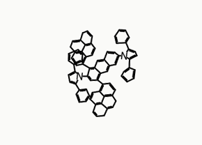 C1=Cc2ccc3c(-c4cc(-n5c(-c6ccccc6)ccc5-c5ccccc5)c(-c5ccc6c7c8c(ccc57)C=CCC8=CC6)c5cc6ccc(-n7c(-c8ccccc8)ccc7-c7ccccc7)cc6cc45)ccc4c3c2C(=CC4)C1